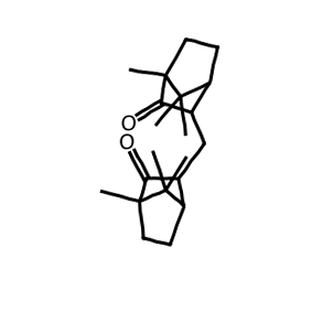 CC12CCC(C(CC3C(=O)C4(C)CCC3C4(C)C)C1=O)C2(C)C